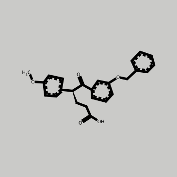 COc1ccc([C@H](CCC(=O)O)C(=O)c2cccc(OCc3ccccc3)c2)cc1